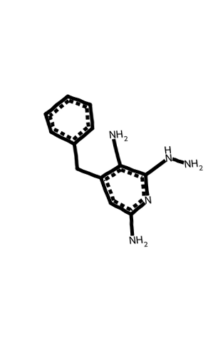 NNc1nc(N)cc(Cc2ccccc2)c1N